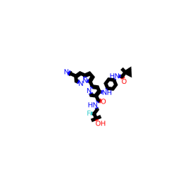 CC1(C(=O)NC2CCC(Nc3cc(-c4ccc5cc(C#N)cnn45)ncc3C(=O)NCC(F)C(C)(C)O)CC2)CC1